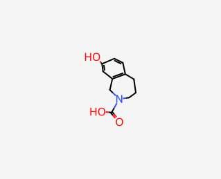 O=C(O)N1CCCc2ccc(O)cc2C1